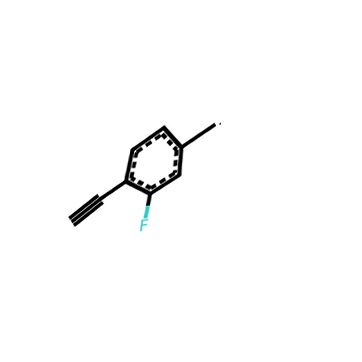 C#Cc1ccc([CH2])cc1F